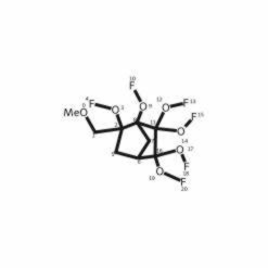 COCC1(OF)CC2CC1(OF)C(OF)(OF)C2(OF)OF